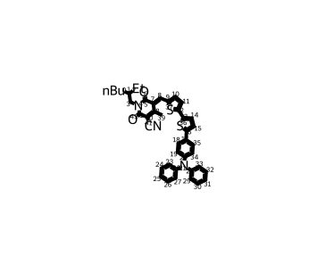 CCCCC(CC)CN1C(=O)C(=Cc2ccc(-c3ccc(-c4ccc(N(c5ccccc5)c5ccccc5)cc4)s3)s2)C(C)=C(C#N)C1=O